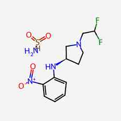 N[SH](=O)=O.O=[N+]([O-])c1ccccc1N[C@@H]1CCN(CC(F)F)C1